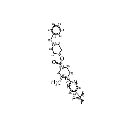 C[C@H]1CN(C(=O)OC2CCN(Cc3ccccc3)CC2)CCN1c1ncc(C(F)(F)F)cn1